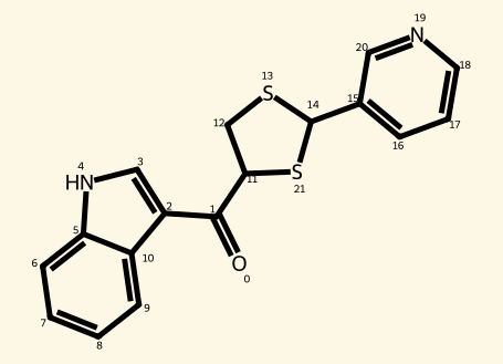 O=C(c1c[nH]c2ccccc12)C1CSC(c2cccnc2)S1